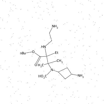 CCCCOC(=O)C(CC)(NCCN)C(C)(C)N(C(=O)O)C1CC(N)C1